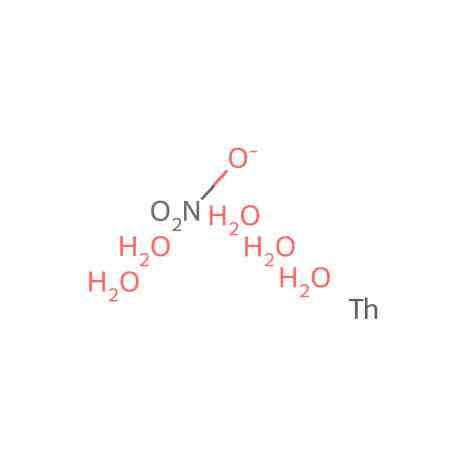 O.O.O.O.O.O=[N+]([O-])[O-].[Th]